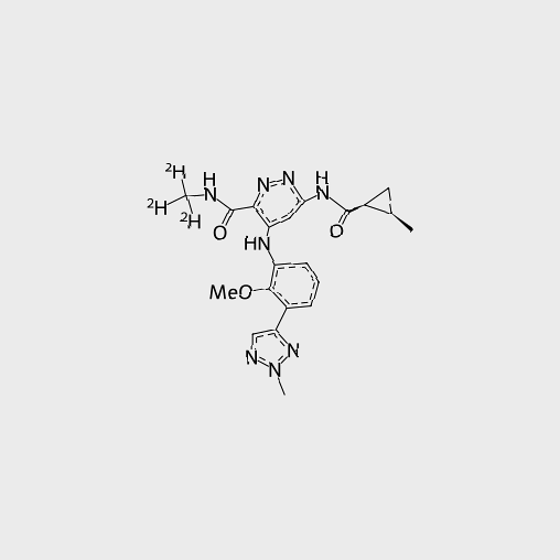 [2H]C([2H])([2H])NC(=O)c1nnc(NC(=O)[C@H]2C[C@H]2C)cc1Nc1cccc(-c2cnn(C)n2)c1OC